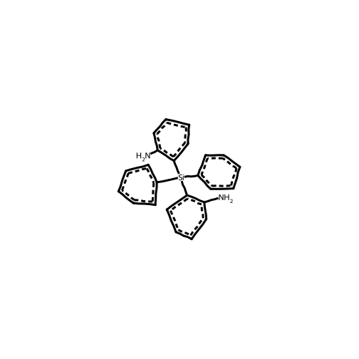 Nc1ccccc1[Si](c1ccccc1)(c1ccccc1)c1ccccc1N